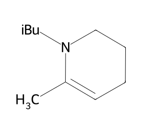 CCC(C)N1CCCC=C1C